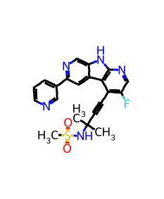 CC(C)(C#Cc1c(F)cnc2[nH]c3cnc(-c4cccnc4)cc3c12)NS(C)(=O)=O